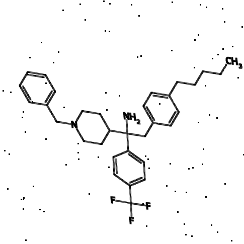 CCCCCc1ccc(CC(N)(c2ccc(C(F)(F)F)cc2)C2CCN(Cc3ccccc3)CC2)cc1